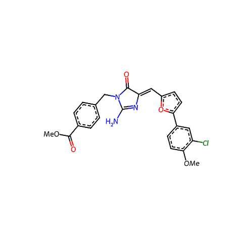 COC(=O)c1ccc(CN2C(=O)C(=Cc3ccc(-c4ccc(OC)c(Cl)c4)o3)N=C2N)cc1